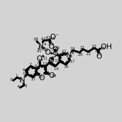 CCN(CC)c1ccc2c(OC)c(/C=C/c3cc[n+](CCCCCC(=O)O)cc3S(=O)(=O)[O-])c(=O)oc2c1.C[N+](C)(C)CC(=O)[O-]